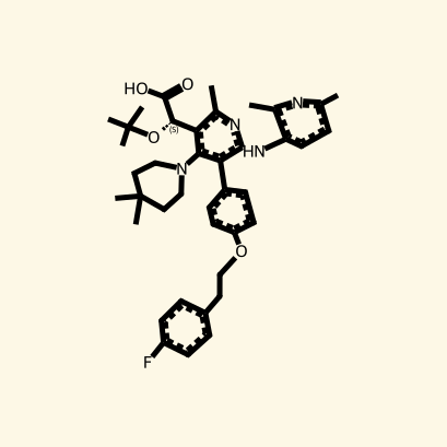 Cc1ccc(Nc2nc(C)c([C@H](OC(C)(C)C)C(=O)O)c(N3CCC(C)(C)CC3)c2-c2ccc(OCCc3ccc(F)cc3)cc2)c(C)n1